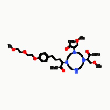 CCOCCOCCOc1ccc(CCCC(C(=O)OC)N2CCNCCN(C(COC(C)(C)C)C(=O)OC)CCN(C(COC(C)(C)C)C(=O)OC)CC2)cc1